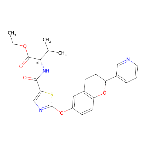 CCOC(=O)[C@@H](NC(=O)c1cnc(Oc2ccc3c(c2)CCC(c2cccnc2)O3)s1)C(C)C